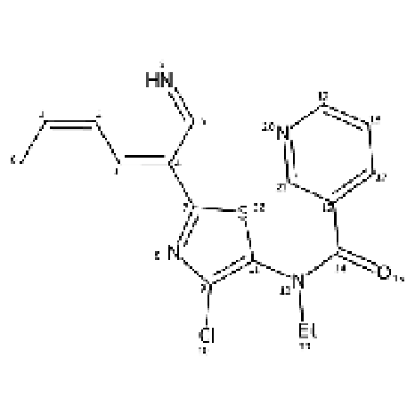 C/C=C\C=C(/C=N)c1nc(Cl)c(N(CC)C(=O)c2cccnc2)s1